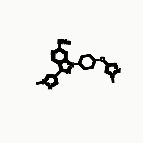 CNc1cc2c(cn1)c(-c1cnn(C)c1)nn2[C@H]1CC[C@@H](Oc2cnn(C)c2)CC1